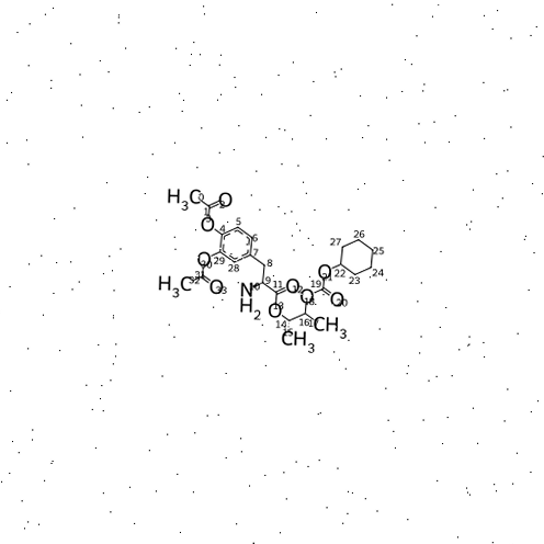 CC(=O)Oc1ccc(C[C@H](N)C(=O)O[C@@H](C)C(C)OC(=O)OC2CCCCC2)cc1OC(C)=O